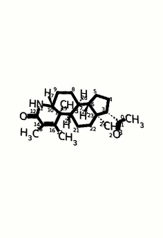 CC(=O)[C@H]1CC[C@H]2[C@@H]3CC[C@H]4NC(=O)C(C)=C(C)[C@]4(C)[C@H]3CC[C@]12C